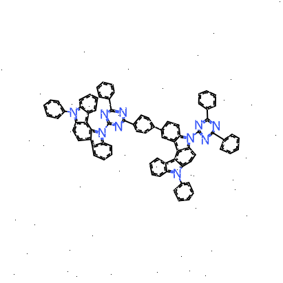 c1ccc(-c2nc(-c3ccccc3)nc(-n3c4ccc(-c5ccc(-c6nc(-c7ccccc7)nc(-n7c8ccccc8c8ccc9c(c%10ccccc%10n9-c9ccccc9)c87)n6)cc5)cc4c4c5c6ccccc6n(-c6ccccc6)c5ccc43)n2)cc1